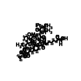 CC[C@H](C)[C@@H]([C@@H](CC(=O)N1CCC[C@H]1[C@H](OC)[C@@H](C)C(=O)N[C@@H](Cc1ccc(OC(=O)NCCCCCC(=O)NO)cc1)C(=O)NS(=O)(=O)C1CC1)OC)N(C)C(=O)CNC(=O)C(C(C)C)N(C)C